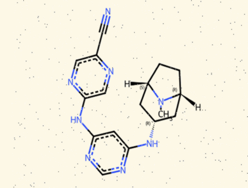 CN1[C@@H]2CC[C@H]1C[C@@H](Nc1cc(Nc3cnc(C#N)cn3)ncn1)C2